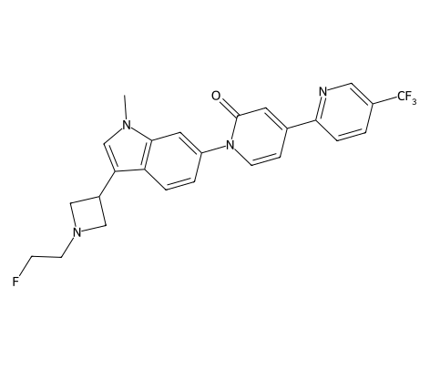 Cn1cc(C2CN(CCF)C2)c2ccc(-n3ccc(-c4ccc(C(F)(F)F)cn4)cc3=O)cc21